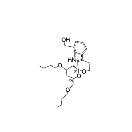 CCCCOC[C@@H]1CC(OCCCC)C[C@@]2(OCCc3c2[nH]c2c(CO)cccc32)O1